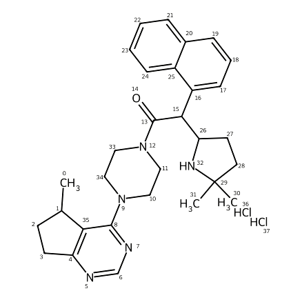 CC1CCc2ncnc(N3CCN(C(=O)C(c4cccc5ccccc45)C4CCC(C)(C)N4)CC3)c21.Cl.Cl